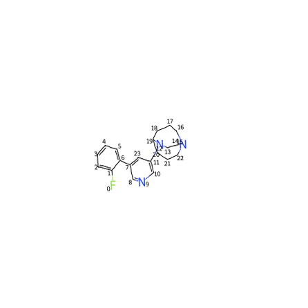 Fc1ccccc1-c1cncc(N2CCN3CCCC2CCC3)c1